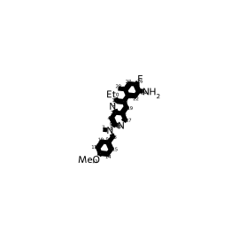 CCc1nc2cc(N(C)Cc3ccc(OC)cc3)ncc2cc1-c1cc(N)c(F)cc1C